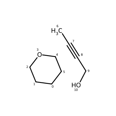 C1CCOCC1.CC#CCO